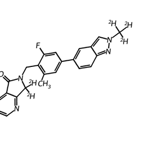 [2H]C1([2H])c2ncccc2C(=O)N1Cc1c(C)cc(-c2ccc3nn(C([2H])([2H])[2H])cc3c2)cc1F